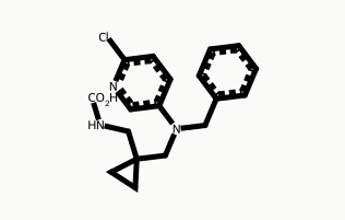 O=C(O)NCC1(CN(Cc2ccccc2)c2ccc(Cl)nc2)CC1